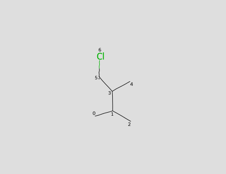 CC(C)C(C)[CH]Cl